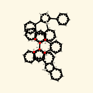 c1ccc(-c2nnc(-c3ccccc3)n2-c2cccc3c2c2ccccc2n3-c2ccccc2-c2ccccc2-c2ccccc2-n2c3ccccc3c3c4oc5ccccc5c4ccc32)cc1